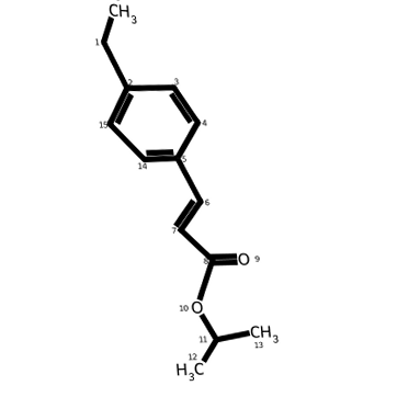 CCc1ccc(C=CC(=O)OC(C)C)cc1